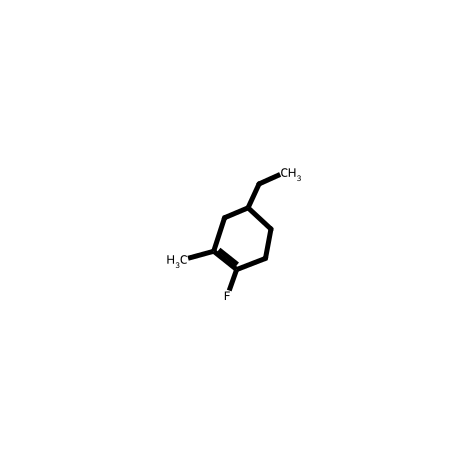 CCC1CCC(F)=C(C)C1